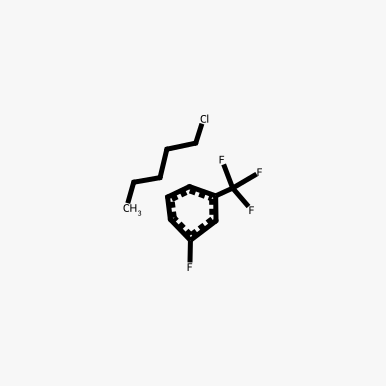 CCCCCCl.Fc1cccc(C(F)(F)F)c1